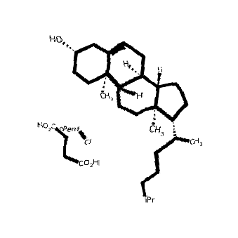 CC(C)CCCC(C)[C@H]1CC[C@H]2[C@@H]3CC=C4C[C@@H](O)CC[C@]4(C)[C@H]3CC[C@]12C.CCCCCCl.O=C(O)CCC(=O)O